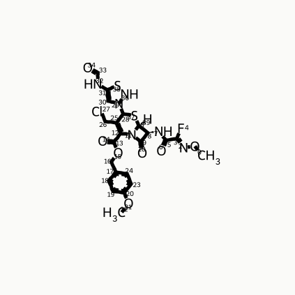 CON=C(F)C(=O)N[C@@H]1C(=O)N2C(C(=O)OCc3ccc(OC)cc3)=C(CCl)C(N3C=C(NC=O)SN3)S[C@@H]12